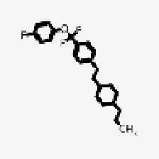 CCCC1CCC(CCc2ccc(C(F)(F)Oc3ccc(F)cc3)cc2)CC1